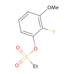 CCS(=O)(=O)Oc1cccc(OC)c1F